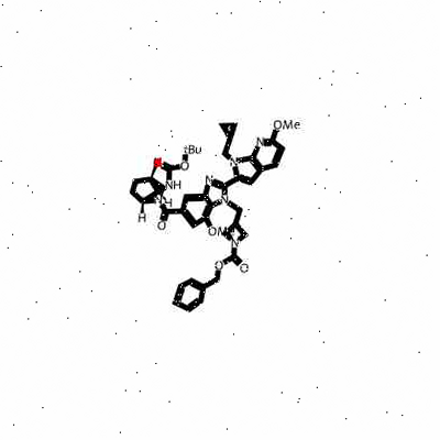 COc1ccc2cc(-c3nc4cc(C(=O)N5C[C@H]6CC[C@@H]5[C@@H]6NC(=O)OC(C)(C)C)cc(OC)c4n3CC3CN(C(=O)OCc4ccccc4)C3)n(CC3CC3)c2n1